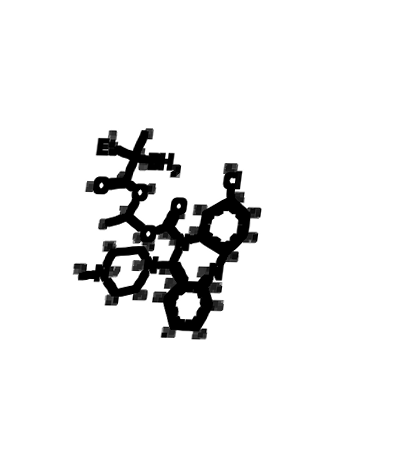 BC(C)(CC)C(=O)OC(C)OC(=O)N1C(N2CCN(C)CC2)=c2ccccc2=Nc2ccc(Cl)cc21